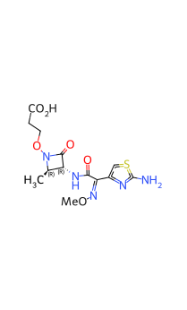 CON=C(C(=O)N[C@H]1C(=O)N(OCCC(=O)O)[C@@H]1C)c1csc(N)n1